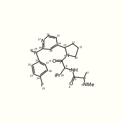 CNC(C)C(=O)NC(C(=O)N1CCCC1c1ccnc(N(C)c2ccc(F)cc2)c1)C(C)C